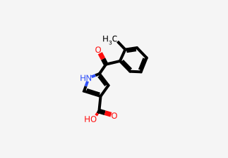 Cc1ccccc1C(=O)c1cc(C(=O)O)c[nH]1